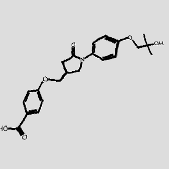 CC(C)(O)COc1ccc(N2CC(COc3ccc(C(=O)O)cc3)CC2=O)cc1